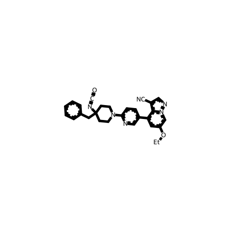 CCOc1cc(-c2ccc(N3CCC(Cc4ccccc4)(N=C=O)CC3)nc2)c2c(C#N)cnn2c1